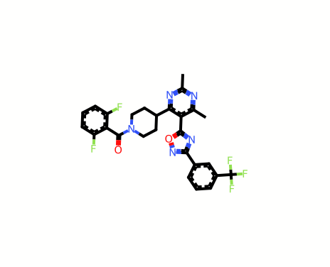 Cc1nc(C)c(-c2nc(-c3cccc(C(F)(F)F)c3)no2)c(C2CCN(C(=O)c3c(F)cccc3F)CC2)n1